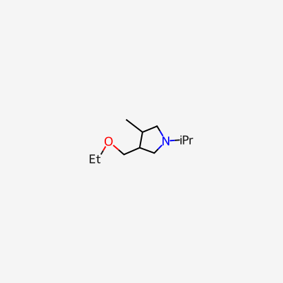 CCOCC1CN(C(C)C)CC1C